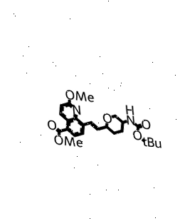 COC(=O)c1ccc(C=CC2CCC(NC(=O)OC(C)(C)C)CO2)c2nc(OC)ccc12